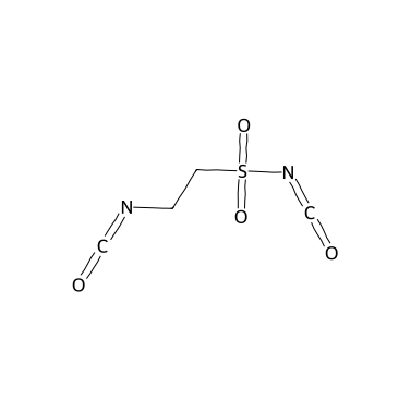 O=C=NCCS(=O)(=O)N=C=O